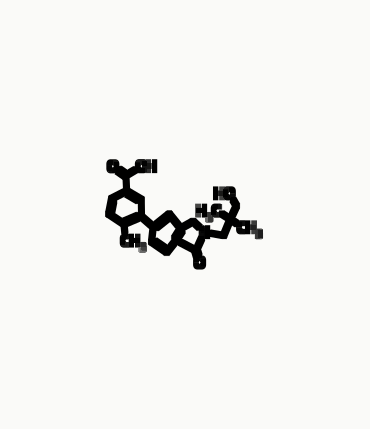 Cc1ccc(C(=O)O)cc1-c1ccc2c(c1)CN(CC(C)(C)CO)C2=O